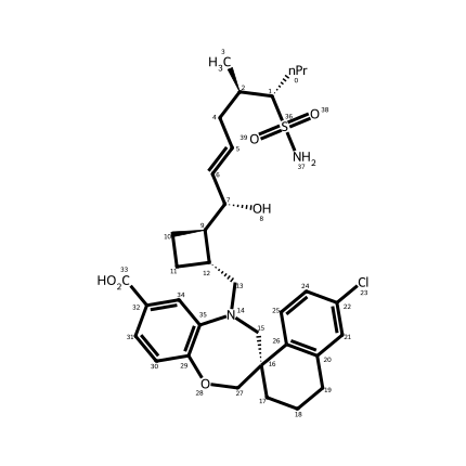 CCC[C@@H]([C@H](C)CC=C[C@H](O)[C@@H]1CC[C@H]1CN1C[C@]2(CCCc3cc(Cl)ccc32)COc2ccc(C(=O)O)cc21)S(N)(=O)=O